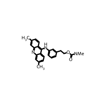 CNC(=O)OCCc1cccc(Nc2c3ccc(C)cc3nc3cc(C)ccc23)c1